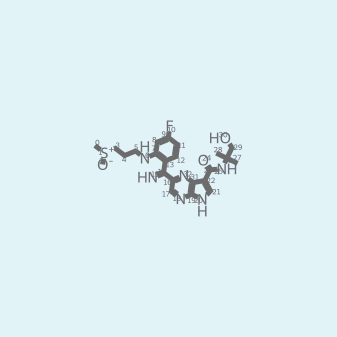 C[S+]([O-])CCCNc1cc(F)ccc1C(=N)c1cnc2[nH]cc(C(=O)NC(C)(C)CO)c2n1